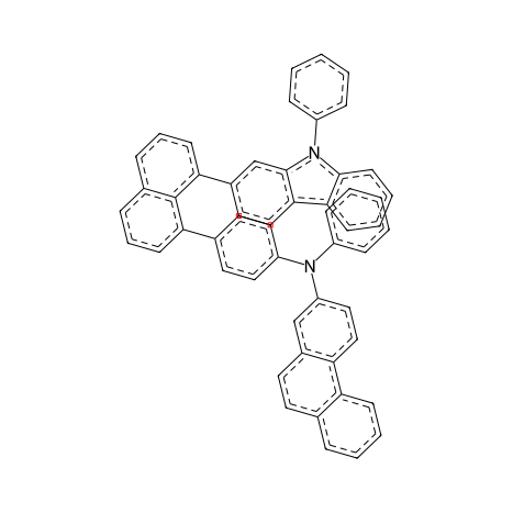 c1ccc(N(c2ccc(-c3cccc4cccc(-c5ccc6c7ccccc7n(-c7ccccc7)c6c5)c34)cc2)c2ccc3c(ccc4ccccc43)c2)cc1